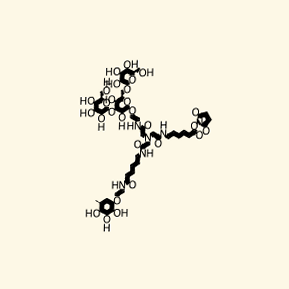 C[C@@H]1C[C@@H](OCCNC(=O)CCCCCNC(=O)CN(CC(=O)NCCCCCC(=O)ON2C(=O)CCC2=O)CC(=O)NCCO[C@H]2O[C@H](CO[C@H]3O[C@H](CO)[C@@H](O)[C@H](O)[C@@H]3O)[C@@H](O)[C@H](O[C@H]3O[C@H](CO)[C@@H](O)[C@H](O)[C@@H]3O)[C@@H]2O)[C@@H](O)[C@H](O)[C@@H]1O